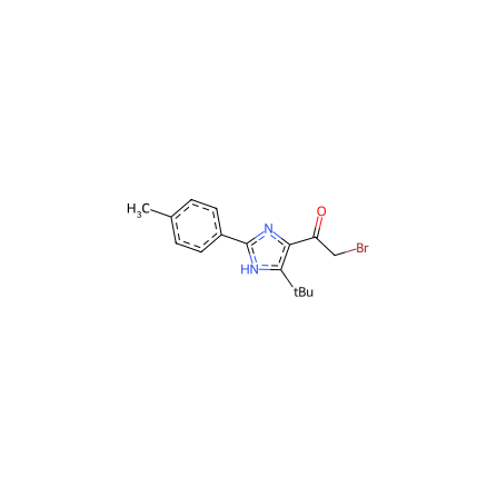 Cc1ccc(-c2nc(C(=O)CBr)c(C(C)(C)C)[nH]2)cc1